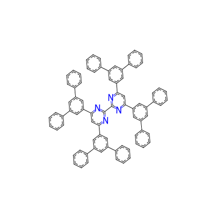 c1ccc(-c2cc(-c3ccccc3)cc(-c3cc(-c4cc(-c5ccccc5)cc(-c5ccccc5)c4)nc(-c4nc(-c5cc(-c6ccccc6)cc(-c6ccccc6)c5)cc(-c5cc(-c6ccccc6)cc(-c6ccccc6)c5)n4)n3)c2)cc1